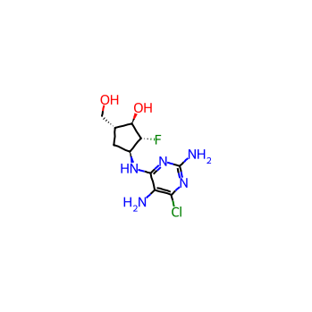 Nc1nc(Cl)c(N)c(N[C@H]2C[C@H](CO)[C@@H](O)[C@@H]2F)n1